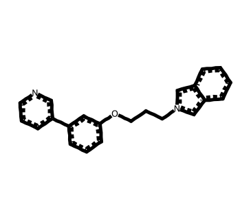 c1cncc(-c2cccc(OCCCn3cc4ccccc4c3)c2)c1